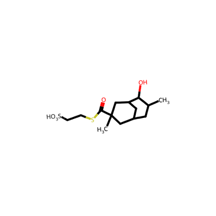 CC1CC2CC(CC(C)(C(=O)SCCS(=O)(=O)O)C2)C1O